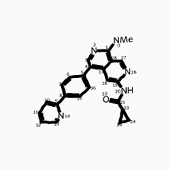 CNc1ncc(-c2ccc(-c3ccccn3)cc2)c2cc(NC(=O)C3CC3)ncc12